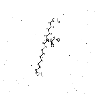 CCCCCCCCCCN(CCCCCC)C(=O)C[O]